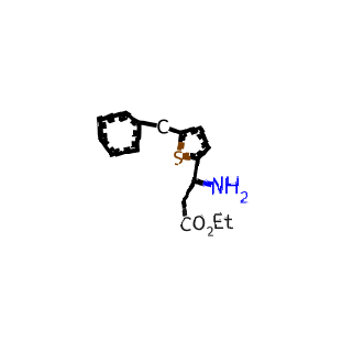 CCOC(=O)CC(N)c1ccc(Cc2ccccc2)s1